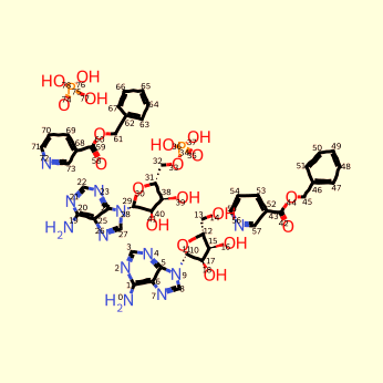 Nc1ncnc2c1ncn2[C@@H]1O[C@H](CO)[C@@H](O)[C@H]1O.Nc1ncnc2c1ncn2[C@@H]1O[C@H](COP(=O)(O)O)[C@@H](O)[C@H]1O.O=C(OCc1ccccc1)c1cccnc1.O=C(OCc1ccccc1)c1cccnc1.O=P(O)(O)O